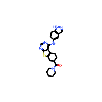 O=C(C1CCc2c(sc3ncnc(Nc4ccc5[nH]ncc5c4)c23)C1)N1CCCCC1